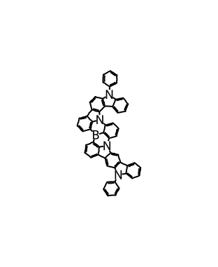 c1ccc(-n2c3ccccc3c3cc4c(cc32)c2cccc3c2n4-c2cccc4c2B3c2cccc3c5ccc6c(c7ccccc7n6-c6ccccc6)c5n-4c23)cc1